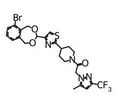 Cc1cc(C(F)(F)F)nn1CC(=O)N1CCC(c2nc(C3OCc4cccc(Br)c4CO3)cs2)CC1